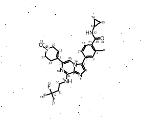 Cc1cc(-c2cnc3c(NCCC(F)(F)F)nc(C4=CC[S+]([O-])CC4)cn23)ccc1C(=O)NC1CC1